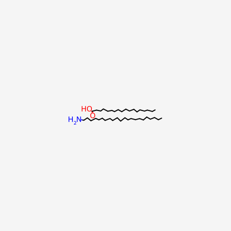 CCCCCCCCCCCCCCCCCC(=O)O.CCCCCCCCCCCCCCCCCCCCCCN